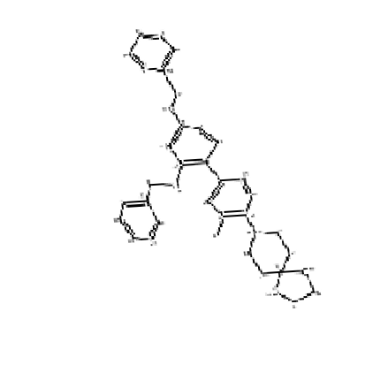 Cc1cc(-c2ccc(OCc3ccccc3)nc2OCc2ccccc2)ncc1N1CCC2(CC1)OCCO2